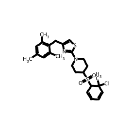 Cc1cc(C)c(Cc2csc(N3CCC(S(=O)(=O)C4C=CC=CC4(C)Cl)CC3)n2)c(C)c1